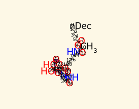 CCCCCCCCCCCCCCCC(=O)OC(C)C(=O)NCCCCCCOC1[C@@H](O[PH](=O)O)[C@@H](CO)O[C@H]1n1ccc(=O)[nH]c1=O